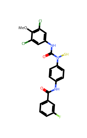 COc1c(Cl)cc(NC(=O)N(S)c2ccc(NC(=O)c3cccc(F)c3)cc2)cc1Cl